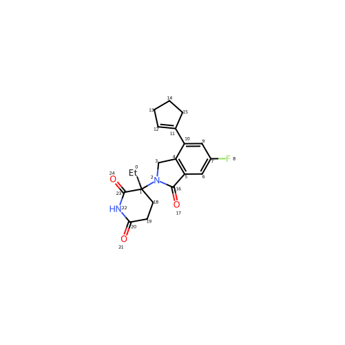 CCC1(N2Cc3c(cc(F)cc3C3=CCCC3)C2=O)CCC(=O)NC1=O